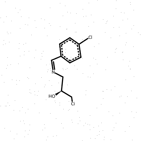 O[C@H](CCl)C/N=C\c1ccc(Cl)cc1